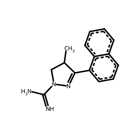 CC1CN(C(=N)N)N=C1c1cccc2ccccc12